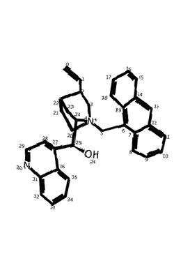 C=CC1C[N+]2(Cc3c4ccccc4cc4ccccc34)CCC1CC2[C@@H](O)c1ccnc2ccccc12